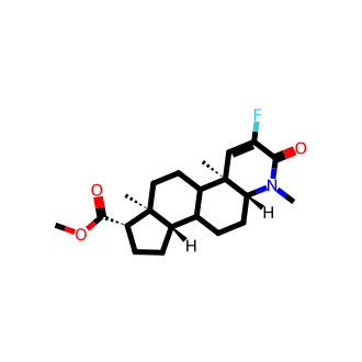 COC(=O)[C@H]1CC[C@H]2C3CC[C@H]4N(C)C(=O)C(F)=C[C@]4(C)C3CC[C@]12C